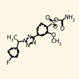 COc1cc(-c2nnn(C(C)c3ccc(F)cc3)n2)ccc1S(=O)(=O)OC(N)=O